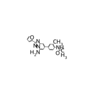 CC(=O)Nc1ccc(-c2cc(N)n3nc(-c4ccco4)nc3c2)cc1C